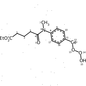 CCOC(=O)CCCC(=O)N(C)c1cc[c]([Ge][O]OO)cc1